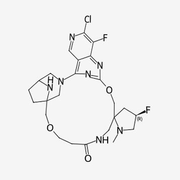 CN1C[C@H](F)CC12CNC(=O)CCOCC13CCC(CN(C1)c1nc(nc4c(F)c(Cl)ncc14)OC2)N3